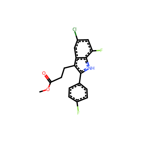 COC(=O)CCc1c(-c2ccc(F)cc2)[nH]c2c(F)cc(Cl)cc12